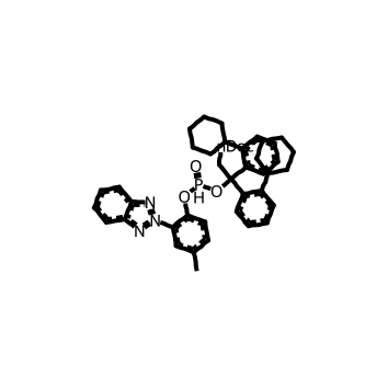 CCCCCCCCCCCC(O[PH](=O)Oc1ccc(C)cc1-n1nc2ccccc2n1)(c1ccccc1C1CCCCC1)c1ccccc1C1CCCCC1